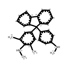 CNc1ccc(C2(c3cc(C)c(NC)c(C)c3)c3ccccc3-c3ccccc32)cc1